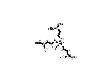 CCCCN(CCCC)CCO[Si](C)(OCCN(CCCC)CCCC)OCCN(CCCC)CCCC